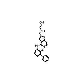 OCCNCc1cc2c(Nc3cccc(-c4ccccc4)c3Cl)nccc2s1